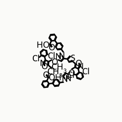 CC(C)c1onc(-c2c(Cl)cccc2Cl)c1COc1cc(-c2csc(-c3onc(-c4c(Cl)cccc4Cl)c3COc3ccn(Cc4ccc(-c5ccccc5C(=O)O)cc4)n3)c2)n(Cc2ccc(-c3ccccc3C(=O)O)cc2)n1